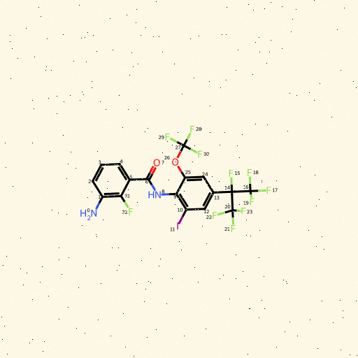 Nc1cccc(C(=O)Nc2c(I)cc(C(F)(C(F)(F)F)C(F)(F)F)cc2OC(F)(F)F)c1F